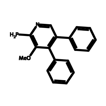 COc1c(P)ncc(-c2ccccc2)c1-c1ccccc1